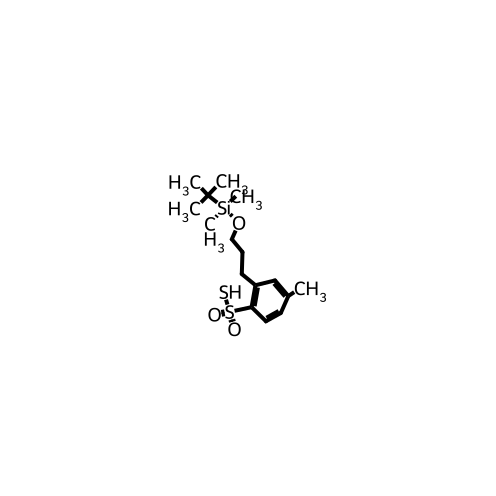 Cc1ccc(S(=O)(=O)S)c(CCCO[Si](C)(C)C(C)(C)C)c1